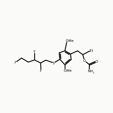 CCC(Cc1cc(OC)c(SCC(F)C(F)CCF)cc1OC)OC(N)=O